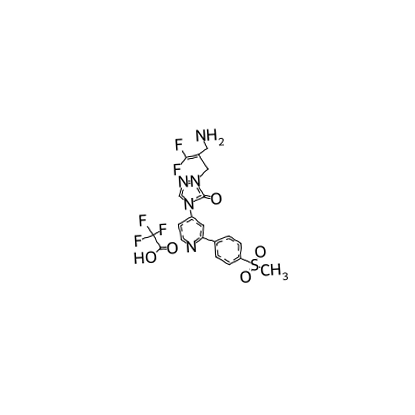 CS(=O)(=O)c1ccc(-c2cc(-n3cnn(CC(CN)=C(F)F)c3=O)ccn2)cc1.O=C(O)C(F)(F)F